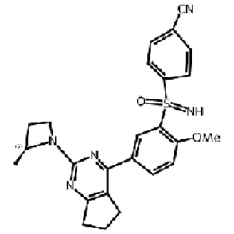 COc1ccc(-c2nc(N3CC[C@@H]3C)nc3c2CCC3)cc1S(=N)(=O)c1ccc(C#N)cc1